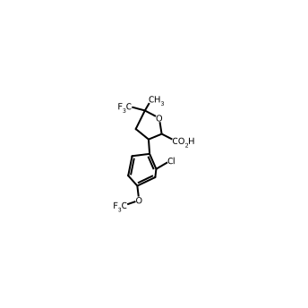 CC1(C(F)(F)F)CC(c2ccc(OC(F)(F)F)cc2Cl)C(C(=O)O)O1